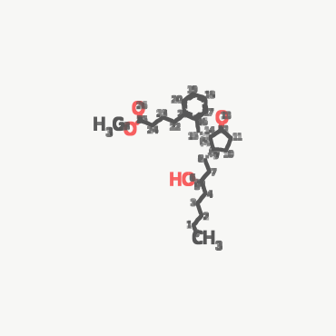 CCCCC[C@H](O)CC[C@H]1CCC(=O)[C@H]1Cc1ccccc1CCCC(=O)OC